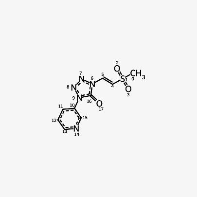 CS(=O)(=O)C=Cn1nnn(-c2cccnc2)c1=O